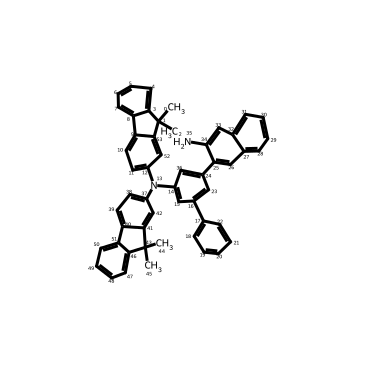 CC1(C)c2ccccc2-c2ccc(N(c3cc(-c4ccccc4)cc(-c4cc5ccccc5cc4N)c3)c3ccc4c(c3)C(C)(C)c3ccccc3-4)cc21